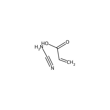 C=CC(=O)O.N#CN